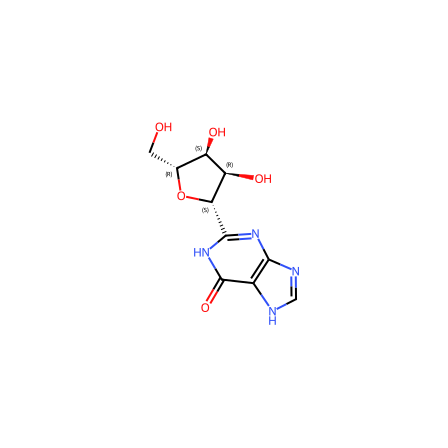 O=c1[nH]c([C@@H]2O[C@H](CO)[C@@H](O)[C@H]2O)nc2nc[nH]c12